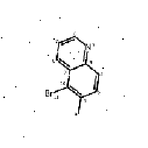 Cc1ccc2ncccc2c1Br